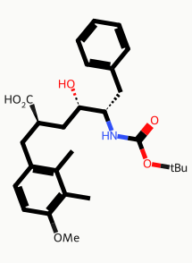 COc1ccc(C[C@H](C[C@H](O)[C@H](Cc2ccccc2)NC(=O)OC(C)(C)C)C(=O)O)c(C)c1C